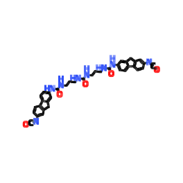 O=C=Nc1ccc2c(c1)Cc1cc(NC(=O)NCCCNC(=O)NCCCNC(=O)Nc3ccc4c(c3)Cc3cc(N=C=O)ccc3-4)ccc1-2